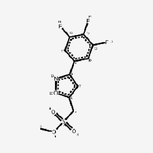 COS(=O)(=O)Cc1cc(-c2cc(F)c(F)c(F)c2)no1